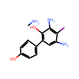 CN.Nc1cc(-c2ccc(O)cc2)c(O)c(N)c1I